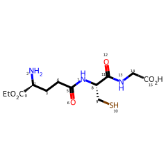 CCOC(=O)[C@@H](N)CCC(=O)N[C@@H](CS)C(=O)NCC(=O)O